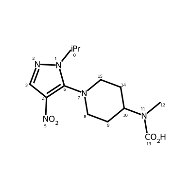 CC(C)n1ncc([N+](=O)[O-])c1N1CCC(N(C)C(=O)O)CC1